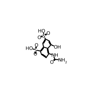 NC(=O)Nc1ccc(S(=O)(=O)O)c2cc(S(=O)(=O)O)cc(O)c12